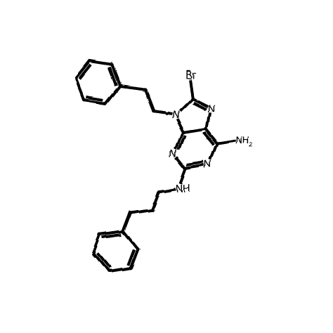 Nc1nc(NCCCc2ccccc2)nc2c1nc(Br)n2CCc1ccccc1